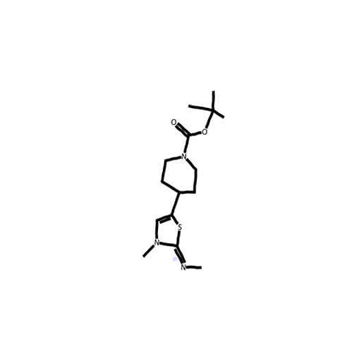 C/N=c1\sc(C2CCN(C(=O)OC(C)(C)C)CC2)cn1C